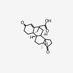 C[C@]12CC[C@H]3[C@@H](CCC4=CC(=O)CC[C@@]43CCC(=O)O)[C@@H]1CCC2=O